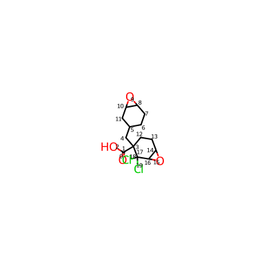 O=C(O)C1(CC2CCC3OC3C2)CCC2OC2C1(Cl)Cl